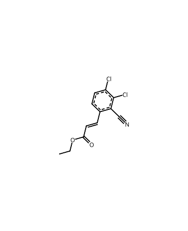 CCOC(=O)C=Cc1ccc(Cl)c(Cl)c1C#N